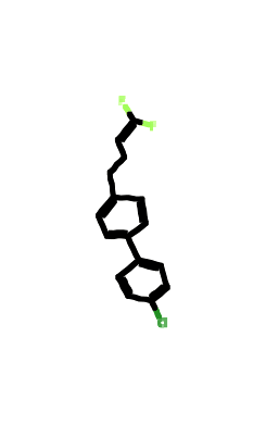 FC(F)=CCCc1ccc(-c2ccc(Cl)cc2)cc1